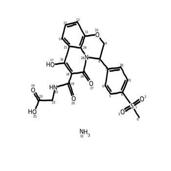 CS(=O)(=O)c1ccc(C2COc3cccc4c(O)c(C(=O)NCC(=O)O)c(=O)n2c34)cc1.N